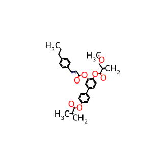 C=C(C)C(=O)Oc1ccc(-c2ccc(OC(=O)C(=C)COC)c(OC(=O)/C=C/c3ccc(CCC)cc3)c2)cc1